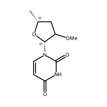 COC1C[C@@H](C)O[C@H]1n1ccc(=O)[nH]c1=O